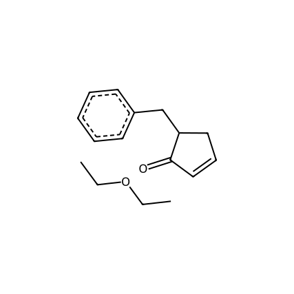 CCOCC.O=C1C=CCC1Cc1ccccc1